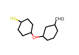 O=CC1CCCC(OC2CCC(S)CC2)C1